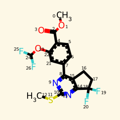 COC(=O)c1ccc(-c2nc(SC)nc3c2CCC3(F)F)cc1OC(F)F